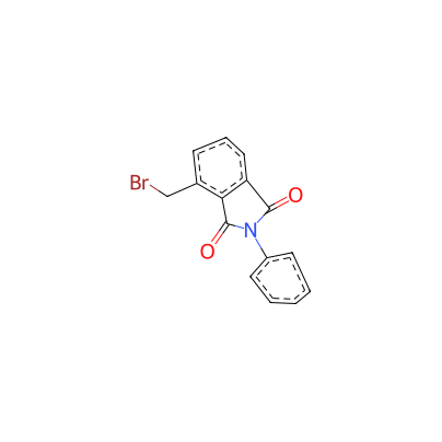 O=C1c2cccc(CBr)c2C(=O)N1c1ccccc1